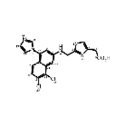 O=C(O)Cc1csc(CNc2cc(-n3ccnc3)c3ccc(Cl)c(Cl)c3n2)n1